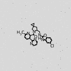 Cc1ccc(-c2ncccn2)c(C(=O)N2CC3(CC3)CC2CNc2nc3cc(Cl)ccc3o2)n1